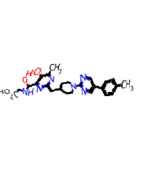 Cc1ccc(-c2cnc(N3CCC(Cc4nc(C)c(O)c(C(=O)NCC(=O)O)n4)CC3)nc2)cc1